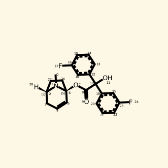 CN1[C@@H]2CC=C[C@@]1(OC(=O)C(O)(c1cccc(F)c1)c1cccc(F)c1)CC2